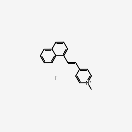 C[n+]1ccc(/C=C/c2cccc3ccccc23)cc1.[I-]